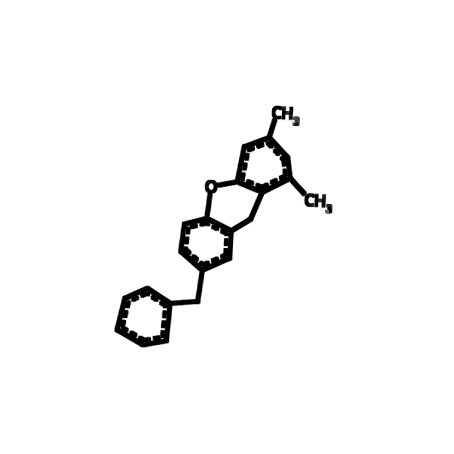 Cc1cc(C)c2c(c1)Oc1ccc(Cc3ccccc3)cc1C2